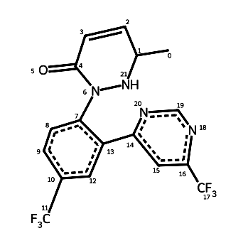 CC1C=CC(=O)N(c2ccc(C(F)(F)F)cc2-c2cc(C(F)(F)F)ncn2)N1